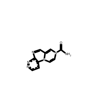 NC(=O)N1C=CN2C(=C1)C=Nc1nnccc12